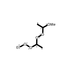 CCOOC(C)OOC(C)OC